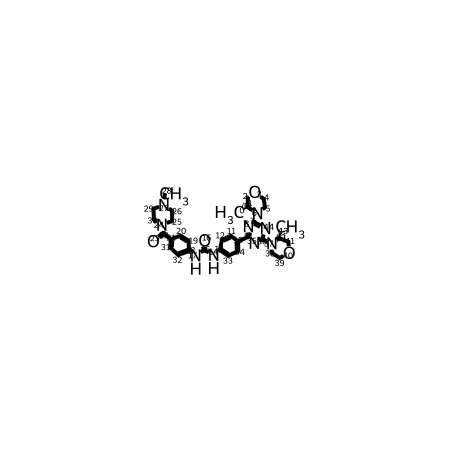 C[C@@H]1COCCN1c1nc(-c2ccc(NC(=O)Nc3ccc(C(=O)N4CCN(C)CC4)cc3)cc2)nc(N2CCOC[C@@H]2C)n1